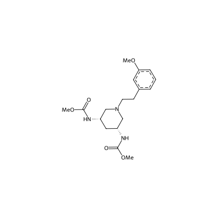 COC(=O)N[C@@H]1C[C@H](NC(=O)OC)CN(CCc2cccc(OC)c2)C1